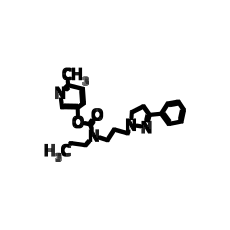 CCCN(CCCN1CCC(c2ccccc2)=N1)C(=O)Oc1ccc(C)nc1